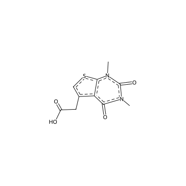 Cn1c(=O)c2c(CC(=O)O)csc2n(C)c1=O